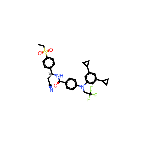 CCS(=O)(=O)c1ccc([C@H](CC#N)NC(=O)c2ccc(N(CC(F)(F)F)c3cc(C4CC4)cc(C4CC4)c3)cc2)cc1